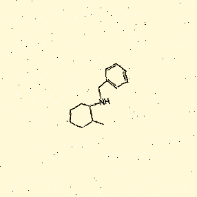 CC1C[CH]CCC1NCc1ccccc1